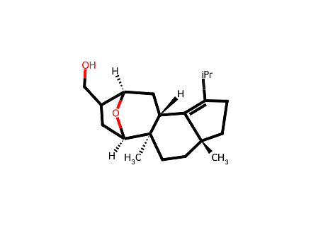 CC(C)C1=C2[C@H]3C[C@H]4O[C@H](CC4CO)[C@]3(C)CC[C@@]2(C)CC1